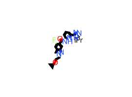 CC(C)n1cnnc1-c1cccc(NC(=O)c2cc3nn(CCOC4CC4)cc3cc2F)n1